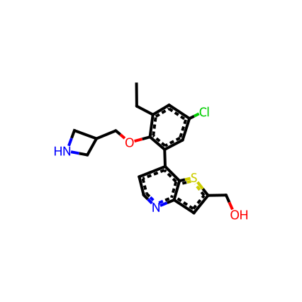 CCc1cc(Cl)cc(-c2ccnc3cc(CO)sc23)c1OCC1CNC1